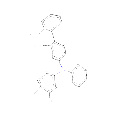 Cc1ccc(N(c2ccccc2)c2ccc(-c3ccccc3C)c(C)c2)cc1C